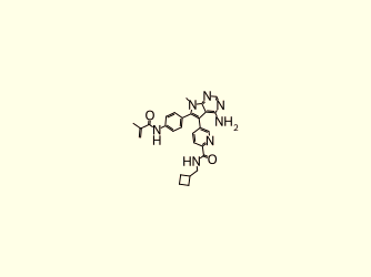 C=C(C)C(=O)Nc1ccc(-c2c(-c3ccc(C(=O)NCC4CCC4)nc3)c3c(N)ncnc3n2C)cc1